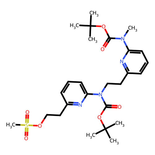 CN(C(=O)OC(C)(C)C)c1cccc(CCN(C(=O)OC(C)(C)C)c2cccc(CCOS(C)(=O)=O)n2)n1